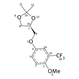 COc1ccc(OC[C@H]2COC(C)(C)O2)cc1C(F)(F)F